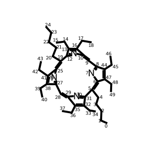 CCCCCC1=C2N=C(C=C3N=C(C(CC)=C3CC)C(CCCCC)=C3N=C(C=C4N=C1C(CC)=C4CC)C(CC)=C3CC)C(CC)=C2CC